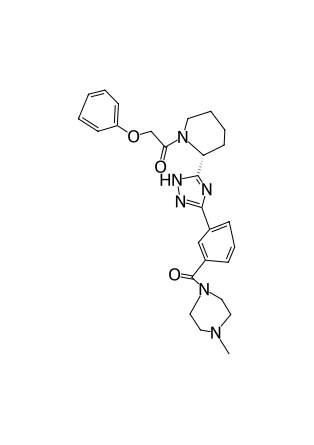 CN1CCN(C(=O)c2cccc(-c3n[nH]c([C@H]4CCCCN4C(=O)COc4ccccc4)n3)c2)CC1